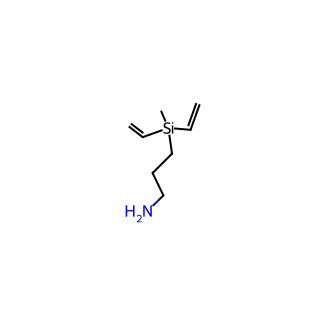 C=C[Si](C)(C=C)CCCN